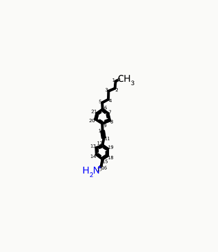 CCCCCCc1ccc(C#Cc2ccc(CN)cc2)cc1